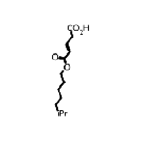 CC(C)CCCCCOC(=O)C=CCC(=O)O